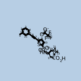 Cc1cccc(C#Cc2ccc(S(=O)(=O)N[C@H](CC(=O)O)C[N+](C)(C)C)s2)c1.O=C([O-])C(F)(F)F